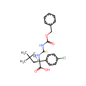 CC(C)(C)C[C@](NC(=S)NC(=O)OCc1ccccc1)(C(=O)O)c1ccc(Cl)cc1